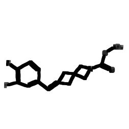 CC(C)(C)OC(=O)N1CC2(CC(=Cc3ccc(F)c(F)c3)C2)C1